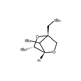 CC(C)(C)C[C@@]12CO[C@@H](C1C(C)(C)C)[C@H](C(C)(C)C)O2